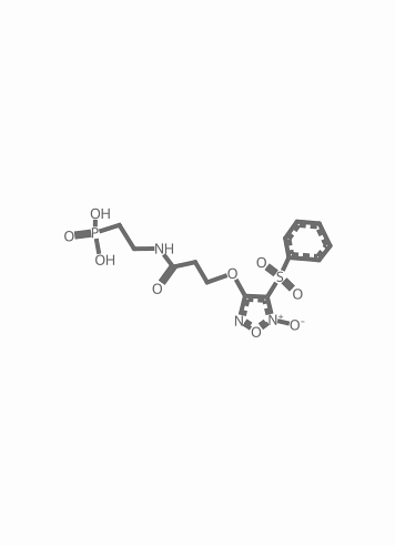 O=C(CCOc1no[n+]([O-])c1S(=O)(=O)c1ccccc1)NCCP(=O)(O)O